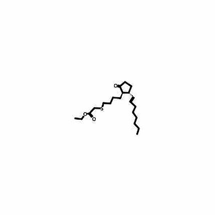 CCCCCCC=C[C@H]1CCC(=O)[C@@H]1CCCCSCC(=O)OCC